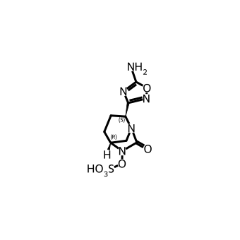 Nc1nc([C@@H]2CC[C@@H]3CN2C(=O)N3OS(=O)(=O)O)no1